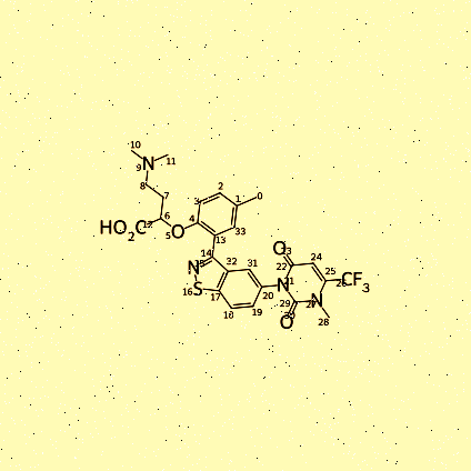 Cc1ccc(OC(CCN(C)C)C(=O)O)c(-c2nsc3ccc(-n4c(=O)cc(C(F)(F)F)n(C)c4=O)cc23)c1